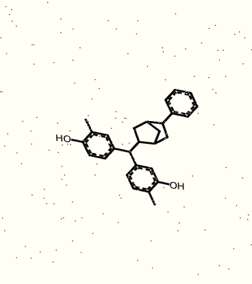 Cc1cc(C(c2ccc(C)c(O)c2)C2CC3CC2CC3c2ccccc2)ccc1O